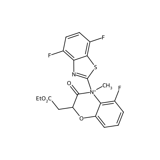 CCOC(=O)CC1Oc2cccc(F)c2[N+](C)(c2nc3c(F)ccc(F)c3s2)C1=O